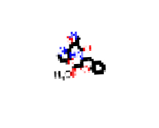 COC(=O)C(=O)C(Cc1ccccc1)NC(=O)c1cnoc1-c1ccccn1